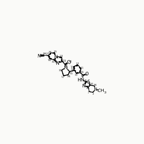 CN1CCc2nc(NC(=O)c3cccc(C4CCCN4C(=O)c4cn5ccc(C#N)cc5n4)c3)sc2C1